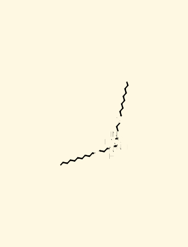 CCCCCCCCCCSCCCNC(=N)NC(=O)NCCCSCCCCCCCCCC